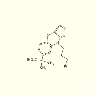 CCOC(=O)C(C)(C)c1ccc2c(c1)N(CCCBr)c1ccccc1S2